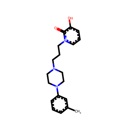 Cc1cccc(N2CCN(CCCn3cccc(O)c3=O)CC2)c1